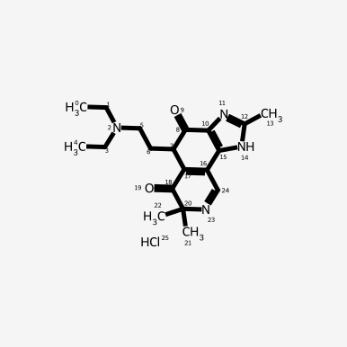 CCN(CC)CCC1C(=O)c2nc(C)[nH]c2C2=C1C(=O)C(C)(C)N=C2.Cl